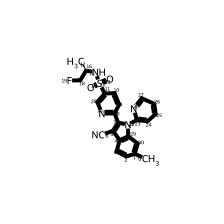 Cc1ccc2c(C#N)c(-c3ccc(S(=O)(=O)N[C@@H](C)CF)cn3)n(-c3ccccn3)c2c1